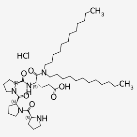 CCCCCCCCCCCCN(CCCCCCCCCCCC)C(=O)[C@H](CCC(=O)O)NC(=O)[C@@H]1CCCN1C(=O)[C@@H]1CCCN1C(=O)[C@@H]1CCCN1.Cl